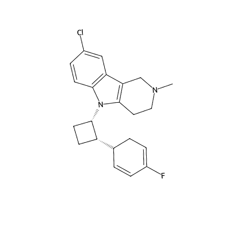 CN1CCc2c(c3cc(Cl)ccc3n2[C@H]2CC[C@H]2C2C=CC(F)=CC2)C1